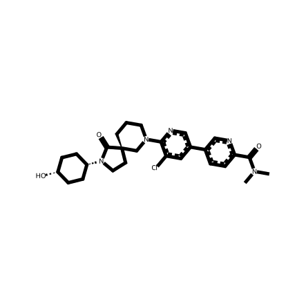 CN(C)C(=O)c1ccc(-c2cnc(N3CCC[C@]4(CCN([C@H]5CC[C@@H](O)CC5)C4=O)C3)c(Cl)c2)cn1